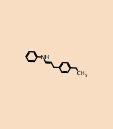 CCc1ccc(CC=CNc2ccccc2)cc1